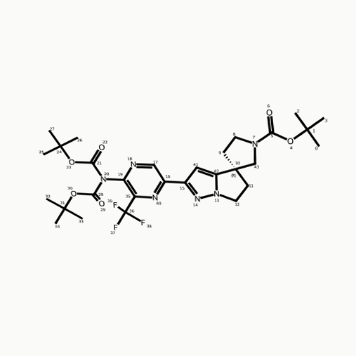 CC(C)(C)OC(=O)N1CC[C@@]2(CCn3nc(-c4cnc(N(C(=O)OC(C)(C)C)C(=O)OC(C)(C)C)c(C(F)(F)F)n4)cc32)C1